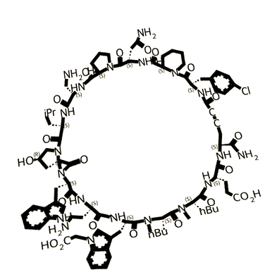 CCCC[C@H]1C(=O)N(C)[C@@H](CCCC)C(=O)N[C@@H](CCC(=O)O)C(=O)N[C@H](C(N)=O)CCCC(=O)N[C@@H](Cc2ccc(Cl)cc2)C(=O)N2CCCC[C@H]2C(=O)N[C@@H](CC(N)=O)C(=O)N2CCC[C@H]2C(=O)N[C@@H](CN)C(=O)N[C@@H](CC(C)C)C(=O)N2C[C@H](O)C[C@@]23C(=O)N3[C@@H](Cc2c[nH]c3ccccc23)C(=O)N[C@@H](CCN)C(=O)N[C@@H](Cc2cn(CC(=O)O)c3ccccc23)C(=O)N1C